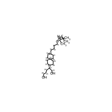 CC(C)(C)[Si](C)(C)OCCCCN1CCC2(CC1)CCN(C(CO)CCCO)CC2